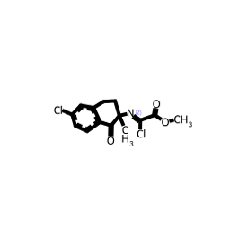 COC(=O)/C(Cl)=N/C1(C)CCc2cc(Cl)ccc2C1=O